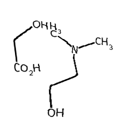 CN(C)CCO.O=C(O)CO